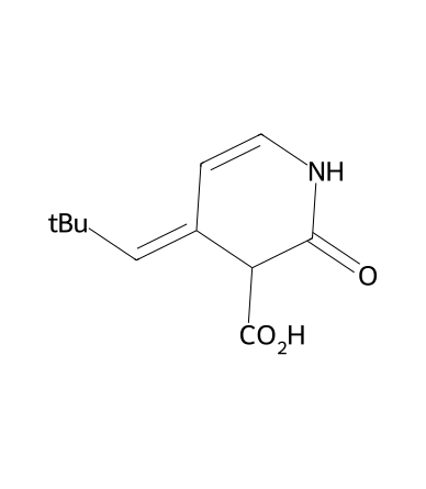 CC(C)(C)C=C1C=CNC(=O)C1C(=O)O